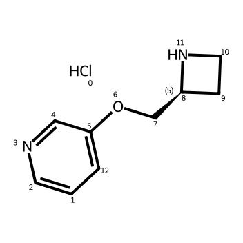 Cl.c1cncc(OC[C@@H]2CCN2)c1